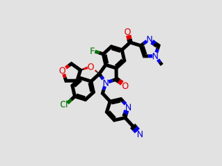 Cn1cnc(C(=O)c2cc(F)c3c(c2)C(=O)N(Cc2ccc(C#N)nc2)[C@@]3(O[C@H]2CCOC2)c2ccc(Cl)cc2)c1